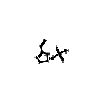 C=CC1=NCCN1.O=S(=O)(O)O